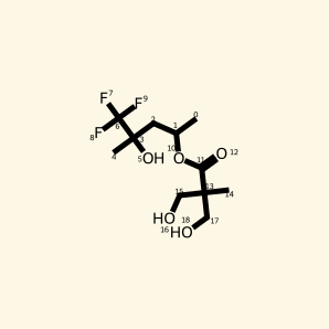 CC(CC(C)(O)C(F)(F)F)OC(=O)C(C)(CO)CO